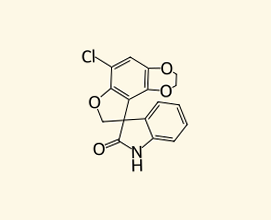 O=C1Nc2ccccc2C12COc1c(Cl)cc3c(c12)OCCO3